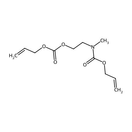 C=CCOC(=O)OCCN(C)C(=O)OCC=C